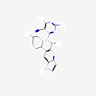 Cc1nc(N)nc(N[C@@H](C)c2nc3ccn(C)c3cc2C2CCC(C)CC2)c1C#N